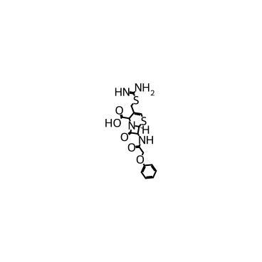 N=C(N)SCC1=CS[C@H]2C(NC(=O)COc3ccccc3)C(=O)N2C1C(=O)O